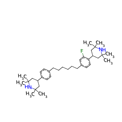 CC1(C)CC(c2ccc(CCCCCCc3ccc(C4CC(C)(C)NC(C)(C)C4)c(F)c3)cc2)CC(C)(C)N1